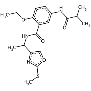 CCOc1ccc(NC(=O)C(C)C)cc1C(=O)NC(C)c1coc(SC)n1